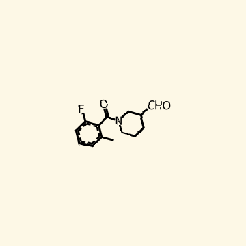 Cc1cccc(F)c1C(=O)N1CCCC(C=O)C1